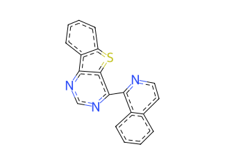 c1ccc2c(-c3ncnc4c3sc3ccccc34)nccc2c1